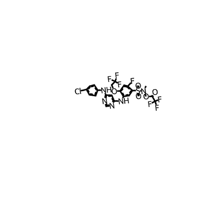 CN(OC(=O)C(F)(F)F)S(=O)(=O)c1cc(Nc2cc(Nc3ccc(Cl)cc3)ncn2)c(OCC(F)(F)F)cc1F